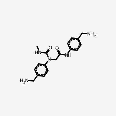 CNC(=O)N(CC(=O)Nc1ccc(CN)cc1)c1ccc(CN)cc1